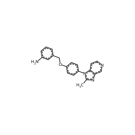 Cc1nc2cnccc2n1-c1ccc(OCc2cccc(N)c2)cc1